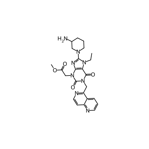 CCn1c(N2CCCC(N)C2)nc2c1c(=O)n(Cc1nccc3ncccc13)c(=O)n2CC(=O)OC